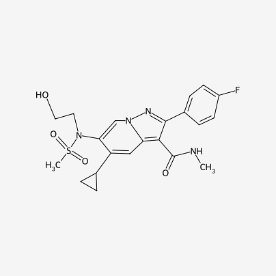 CNC(=O)c1c(-c2ccc(F)cc2)nn2cc(N(CCO)S(C)(=O)=O)c(C3CC3)cc12